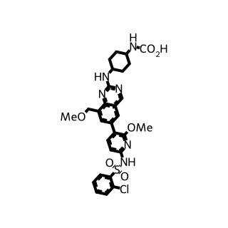 COCc1cc(-c2ccc(NS(=O)(=O)c3ccccc3Cl)nc2OC)cc2cnc(NC3CCC(NC(=O)O)CC3)nc12